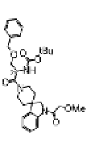 COCC(=O)N1CC2(CCN(C(=O)[C@@H](COCc3ccccc3)NC(=O)OC(C)(C)C)CC2)c2ccccc21